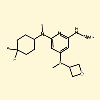 CNNc1cc(N(C)C2COC2)cc(N(C)C2CCC(F)(F)CC2)n1